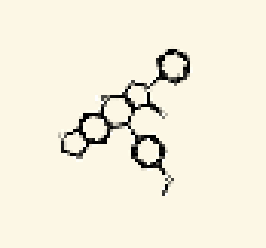 COc1ccc(C2C3=C(CN(c4ccccc4)C3=O)Nc3cc4c(cc32)OCO4)cc1